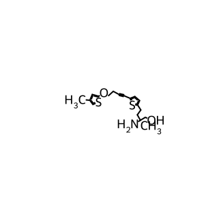 Cc1csc(OCCC#Cc2ccc(CCC(C)(N)CO)s2)c1